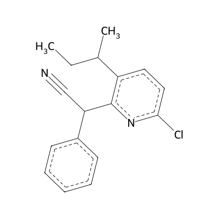 CCC(C)c1ccc(Cl)nc1C(C#N)c1ccccc1